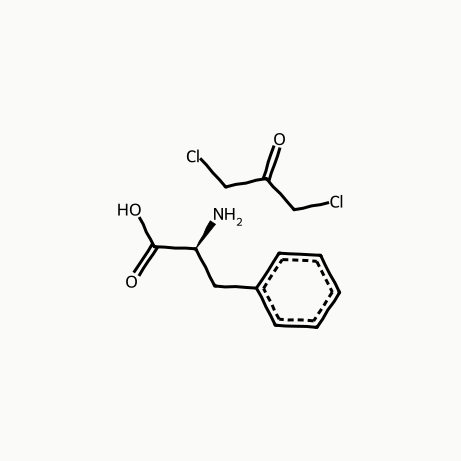 N[C@@H](Cc1ccccc1)C(=O)O.O=C(CCl)CCl